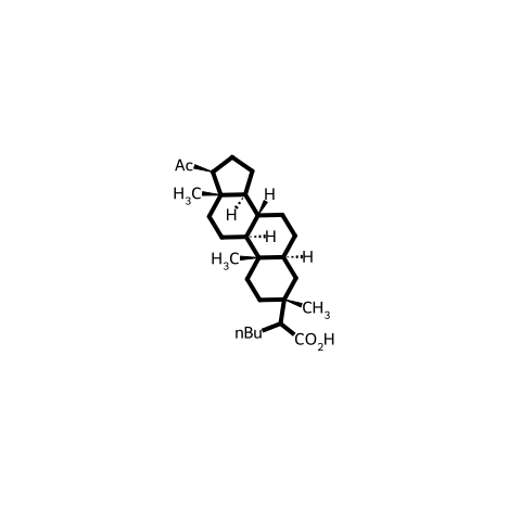 CCCCC(C(=O)O)[C@]1(C)CC[C@@]2(C)[C@@H](CC[C@@H]3[C@@H]2CC[C@]2(C)[C@@H](C(C)=O)CC[C@@H]32)C1